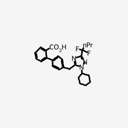 CCCC(F)(F)c1nc(Cc2ccc(-c3ccccc3C(=O)O)cc2)n(C2CCCCC2)n1